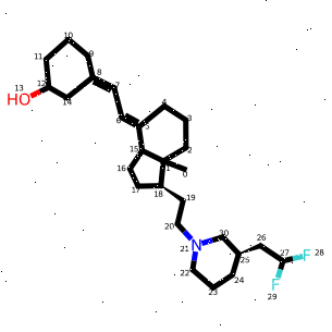 CC12CCC/C(=C\C=C3\CCCC(O)C3)C1CC[C@@H]2CCN1CCC[C@H](CC(F)F)C1